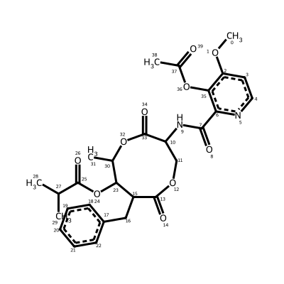 COc1ccnc(C(=O)NC2COC(=O)C(Cc3ccccc3)C(OC(=O)C(C)C)C(C)OC2=O)c1OC(C)=O